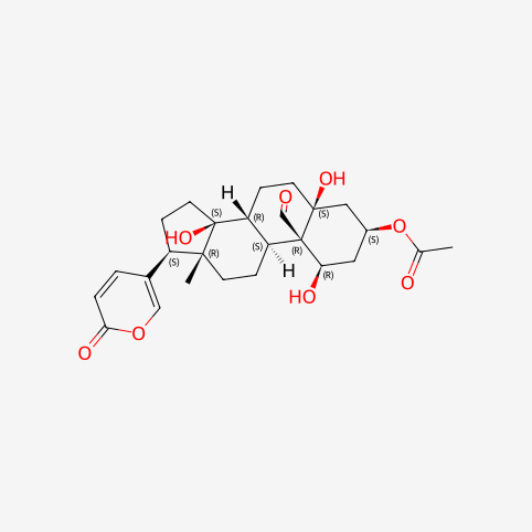 CC(=O)O[C@H]1C[C@@H](O)[C@]2(C=O)[C@H]3CC[C@]4(C)[C@@H](c5ccc(=O)oc5)CC[C@]4(O)[C@@H]3CC[C@]2(O)C1